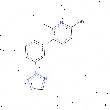 Cc1nc(C(C)C)ccc1-c1cccc(-n2nccn2)c1